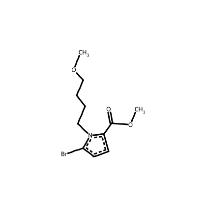 COCCCCn1c(Br)ccc1C(=O)OC